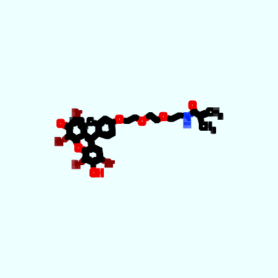 C=C(C)C(=O)NCCOCCOCCOc1ccc(-c2c3cc(Br)c(=O)c(Br)c-3oc3c(Br)c(O)c(Br)cc23)c(C(=O)O)c1